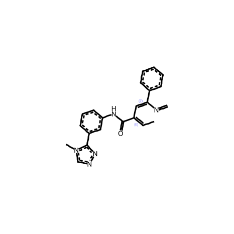 C=N/C(=C\C(=C/C)C(=O)Nc1cccc(-c2nncn2C)c1)c1ccccc1